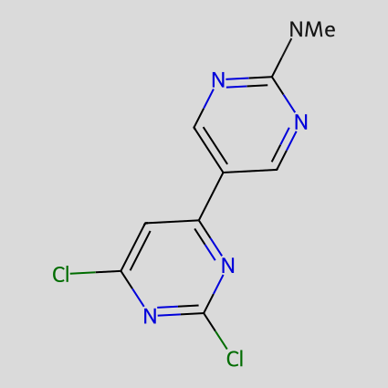 CNc1ncc(-c2cc(Cl)nc(Cl)n2)cn1